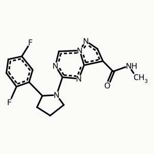 CNC(=O)c1cnn2cnc(N3CCCC3c3cc(F)ccc3F)nc12